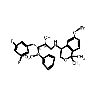 CC(C)Oc1ccc2c(c1)C(NC[C@@H](O)[C@@H](Cc1cc(F)cc(F)c1)N(C(=O)O)c1ccccc1)COC2(C)C